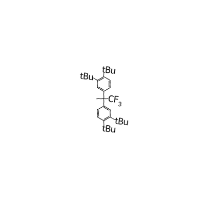 CC(C)(C)c1ccc(C(C)(c2ccc(C(C)(C)C)c(C(C)(C)C)c2)C(F)(F)F)cc1C(C)(C)C